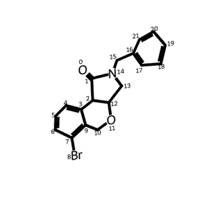 O=C1C2c3cccc(Br)c3COC2CN1Cc1ccccc1